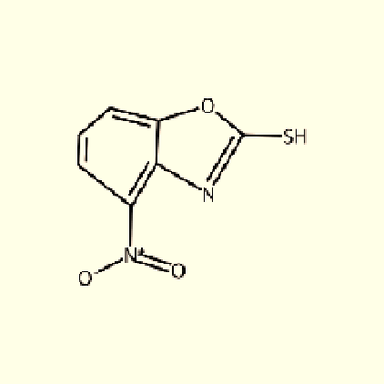 O=[N+]([O-])c1cccc2oc(S)nc12